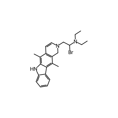 CCN(CC)C(Br)CN1C=Cc2c(c(C)c3c([nH]c4ccccc43)c2C)C1